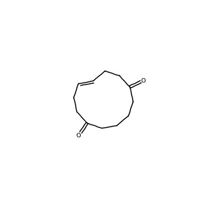 O=C1CC/C=C/CCC(=O)CCCC1